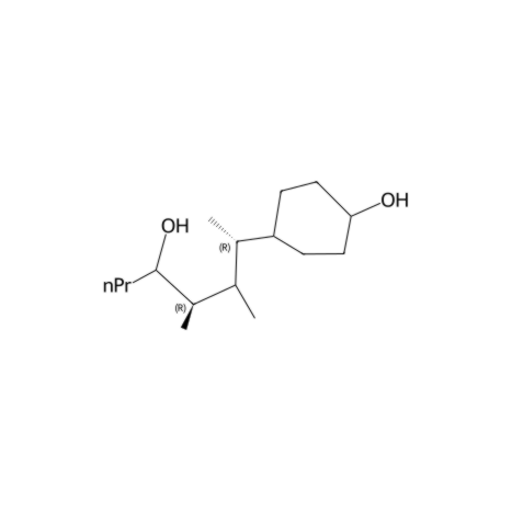 CCCC(O)[C@H](C)C(C)[C@H](C)C1CCC(O)CC1